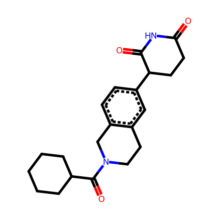 O=C1CCC(c2ccc3c(c2)CCN(C(=O)C2CCCCC2)C3)C(=O)N1